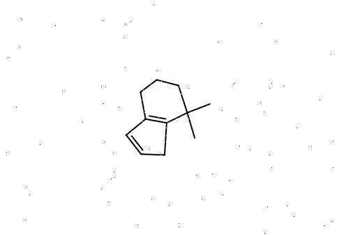 CC1(C)CCCC2=C1CC=C2